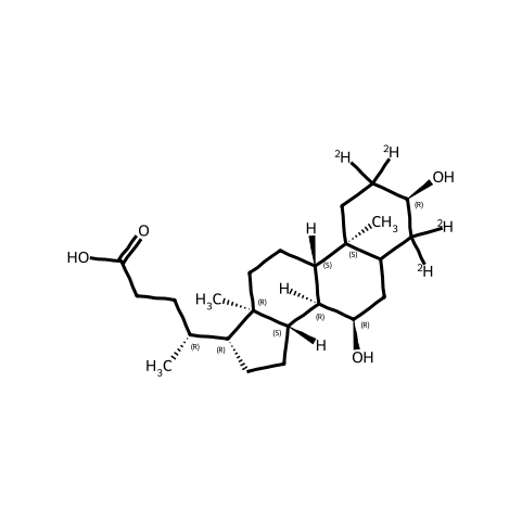 [2H]C1([2H])C[C@@]2(C)C(C[C@@H](O)[C@H]3[C@@H]4CC[C@H]([C@H](C)CCC(=O)O)[C@@]4(C)CC[C@@H]32)C([2H])([2H])[C@@H]1O